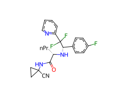 CCC[C@H](N[C@@H](c1ccc(F)cc1)C(F)(F)c1ccccn1)C(=O)NC1(C#N)CC1